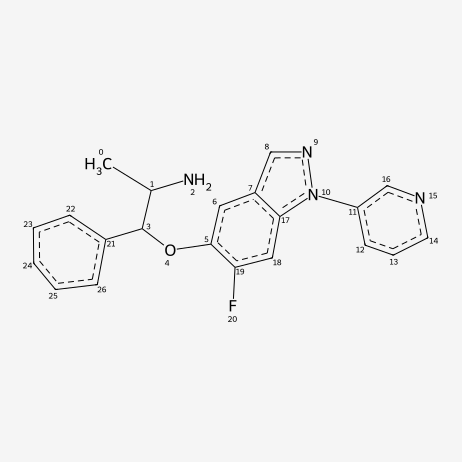 CC(N)C(Oc1cc2cnn(-c3cccnc3)c2cc1F)c1ccccc1